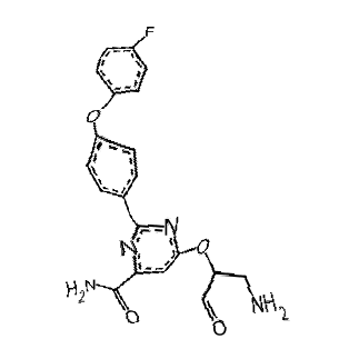 NCC(C=O)Oc1cc(C(N)=O)nc(-c2ccc(Oc3ccc(F)cc3)cc2)n1